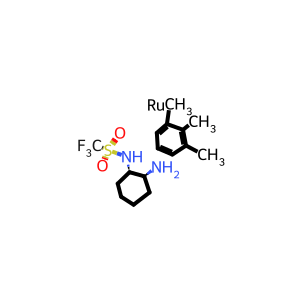 Cc1cccc(C)c1C.N[C@H]1CCCC[C@@H]1NS(=O)(=O)C(F)(F)F.[Ru]